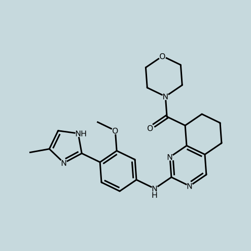 COc1cc(Nc2ncc3c(n2)C(C(=O)N2CCOCC2)CCC3)ccc1-c1nc(C)c[nH]1